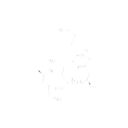 CSCC[C@H](N)C(=O)O.NCCC[C@H](N)C(=O)O.N[C@@H](Cc1ccccc1)C(=O)O.O=C(O)CCC(=O)O